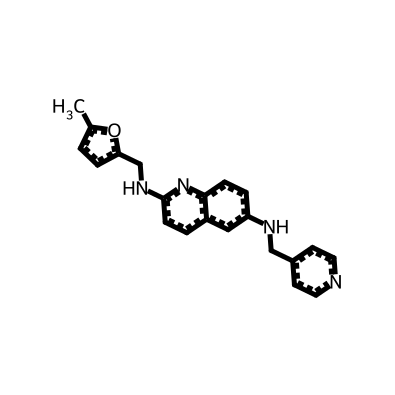 Cc1ccc(CNc2ccc3cc(NCc4ccncc4)ccc3n2)o1